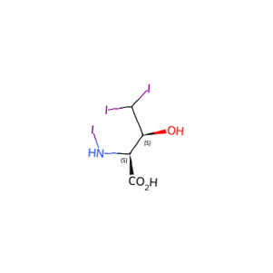 O=C(O)[C@@H](NI)[C@H](O)C(I)I